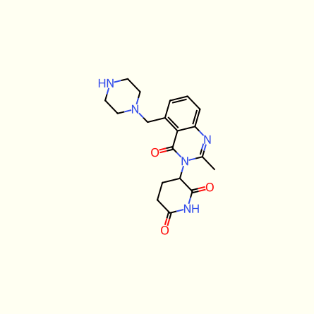 Cc1nc2cccc(CN3CCNCC3)c2c(=O)n1C1CCC(=O)NC1=O